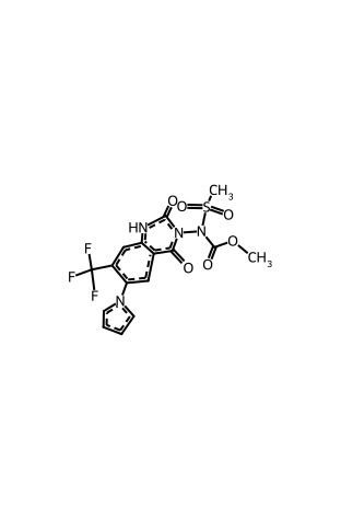 COC(=O)N(n1c(=O)[nH]c2cc(C(F)(F)F)c(-n3cccc3)cc2c1=O)S(C)(=O)=O